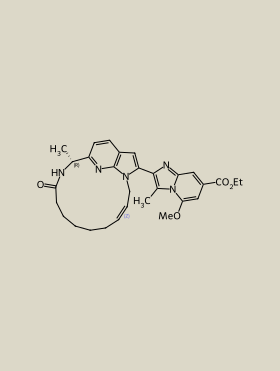 CCOC(=O)c1cc(OC)n2c(C)c(-c3cc4ccc5nc4n3C/C=C\CCCCCC(=O)N[C@@H]5C)nc2c1